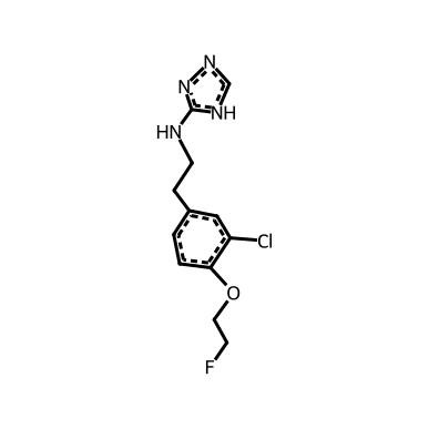 FCCOc1ccc(CCNc2nnc[nH]2)cc1Cl